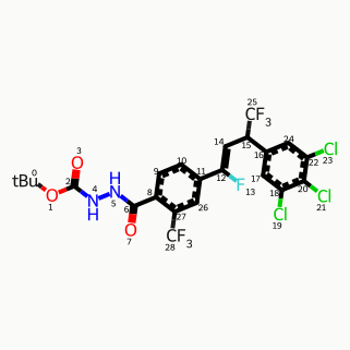 CC(C)(C)OC(=O)NNC(=O)c1ccc(/C(F)=C/C(c2cc(Cl)c(Cl)c(Cl)c2)C(F)(F)F)cc1C(F)(F)F